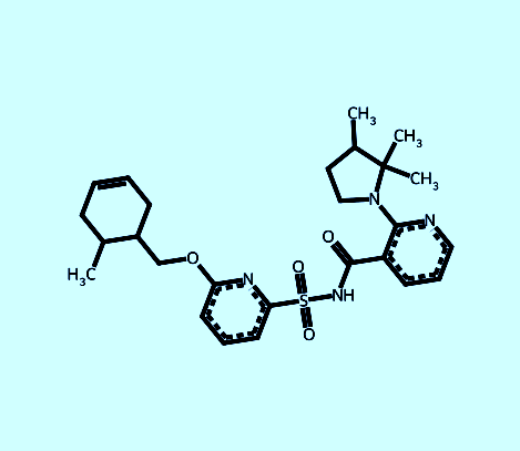 CC1CC=CCC1COc1cccc(S(=O)(=O)NC(=O)c2cccnc2N2CCC(C)C2(C)C)n1